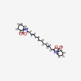 O=C1OC(C/C=C/CCCCCC/C=C/CC2=NC3(CCCCC3)C(=O)O2)=NC12CCCCC2